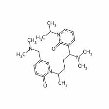 CC(C)n1cccc(C(CCC(C)n2cc(CN(C)C)ccc2=O)N(C)C)c1=O